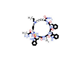 C=CCN1CC#CCN(NC(=O)[C@H](C)N)S(=O)(=O)N[C@H](Cc2c[nH]c3ccccc23)C(=O)N[C@@H](C)C(=O)N[C@@H](Cc2c[nH]c3ccccc23)C(=O)N[C@H](Cc2ccccc2)C(=O)N[C@H](C(N)=O)CCCC1